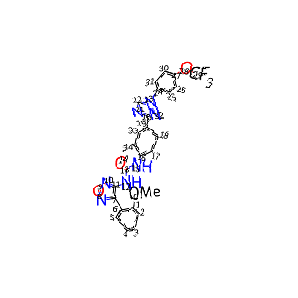 COc1ccccc1-c1nonc1NC(=O)Nc1ccc(-c2ncn(-c3ccc(OC(F)(F)F)cc3)n2)cc1